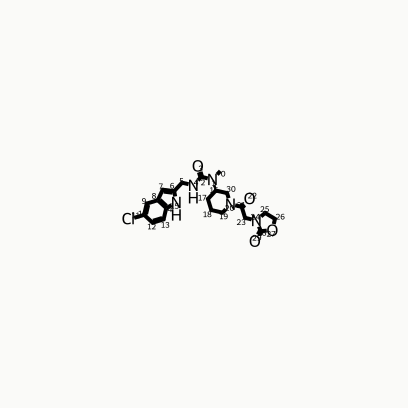 CN(C(=O)NCc1cc2cc(Cl)ccc2[nH]1)[C@@H]1CCCN(C(=O)CN2CCOC2=O)C1